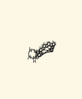 CN1CCCN(C)CCN[C@@H](O)C2(C(=O)NCC1)c1c2c2c3ccc4c5ccc6c7ccc8c9ccc%10c1c1c2c2c3c4c3c5c6c4c7c8c5c9c%10c1c1c5c4c3c21